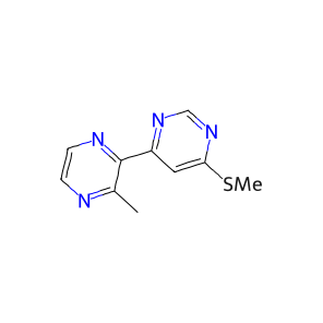 CSc1cc(-c2nccnc2C)ncn1